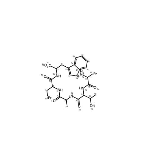 CC(C)CC(NC(=O)C(C)NC(=O)C(NC(=O)C(N)C(C)C)C(C)O)C(=O)NC(Cc1c[nH]c2ccccc12)C(=O)O